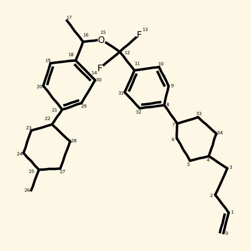 C=CCCC1CCC(c2ccc(C(F)(F)OC(C)c3ccc(C4CCC(C)CC4)cc3)cc2)CC1